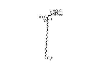 CC(=O)CCC(NC(=O)CCC(NC(=O)CCCCCCCCCCCCCCCCCCCCC(=O)O)C(=O)O)C(=O)O